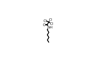 CCCCCCNC(=O)C(Cl)(Cl)Cl